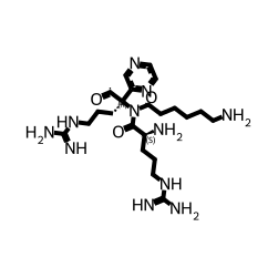 N=C(N)NCCC[C@H](N)C(=O)N(C(=O)CCCCCN)[C@]([C]=O)(CCCNC(=N)N)c1cnccn1